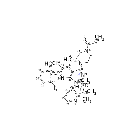 C=CC(=O)N1CCN(/C(=N/C)c2cc(Cl)c(-c3c(O)cccc3F)nc2N(C=O)c2cccnc2C(C)(C)C)C(C)C1